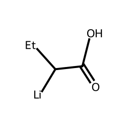 [Li][CH](CC)C(=O)O